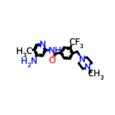 Cc1cnc(NC(=O)c2ccc(CN3CCN(C)CC3)c(C(F)(F)F)c2)cc1N